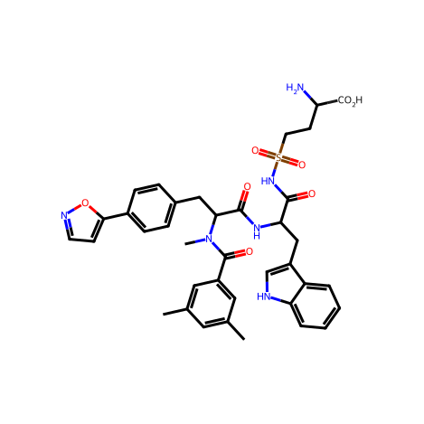 Cc1cc(C)cc(C(=O)N(C)C(Cc2ccc(-c3ccno3)cc2)C(=O)NC(Cc2c[nH]c3ccccc23)C(=O)NS(=O)(=O)CCC(N)C(=O)O)c1